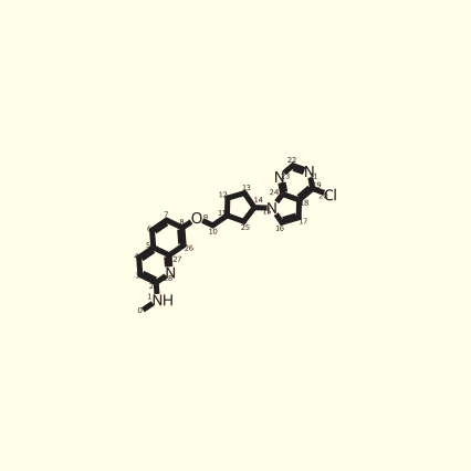 CNc1ccc2ccc(OCC3CCC(n4ccc5c(Cl)ncnc54)C3)cc2n1